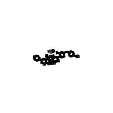 COc1ncc(N2CCOCC2)cc1S(=O)(=O)Nc1ccnc(-c2ccc(CN3CCN(C(C)C)CC3)cc2F)c1.O